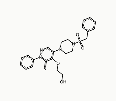 O=S(=O)(Cc1ccccc1)N1CCN(c2cnn(-c3ccccc3)c(=S)c2OCCO)CC1